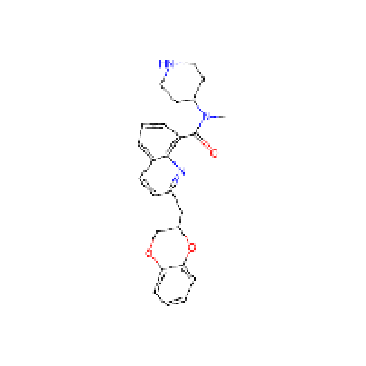 CN(C(=O)c1cccc2ccc(CC3COc4ccccc4O3)nc12)C1CCNCC1